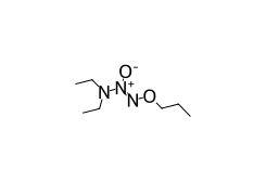 CCCO/N=[N+](\[O-])N(CC)CC